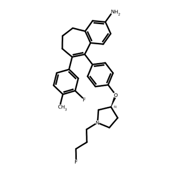 Cc1ccc(C2=C(c3ccc(O[C@H]4CCN(CCCF)C4)cc3)c3ccc(N)cc3CCC2)cc1F